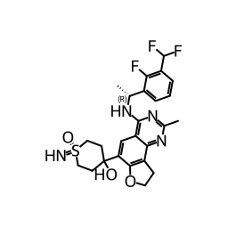 Cc1nc(N[C@H](C)c2cccc(C(F)F)c2F)c2cc(C3(O)CCS(=N)(=O)CC3)c3c(c2n1)CCO3